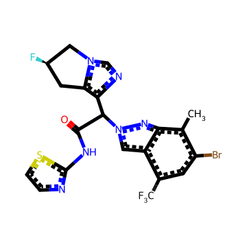 Cc1c(Br)cc(C(F)(F)F)c2cn(C(C(=O)Nc3nccs3)c3ncn4c3C[C@@H](F)C4)nc12